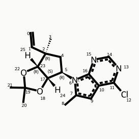 C=C[C@@]1(C)C[C@@H](n2c(C)cc3c(Cl)ncnc32)[C@@H]2OC(C)(C)O[C@@H]21